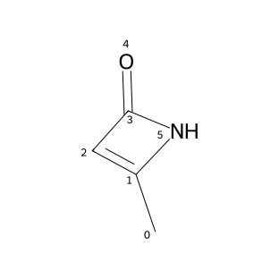 CC1=CC(=O)N1